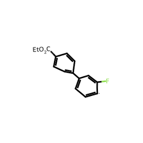 CCOC(=O)c1ccc(-c2cc[c]c(F)c2)cc1